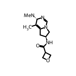 CN[C@@H]1N=CN2C[C@@H](NC(=O)C3COC3)CC2=C1C